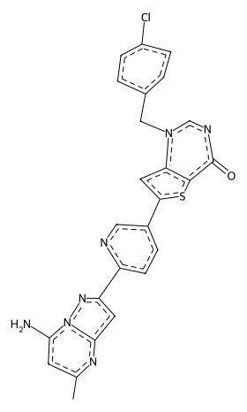 Cc1cc(N)n2nc(-c3ccc(-c4cc5c(s4)c(=O)ncn5Cc4ccc(Cl)cc4)cn3)cc2n1